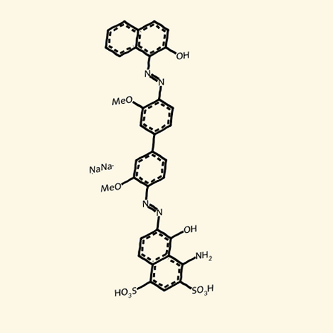 COc1cc(-c2ccc(N=Nc3c(O)ccc4ccccc34)c(OC)c2)ccc1N=Nc1ccc2c(S(=O)(=O)O)cc(S(=O)(=O)O)c(N)c2c1O.[Na].[Na]